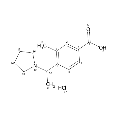 Cc1cc(C(=O)O)ccc1C(C)N1CCCC1.Cl